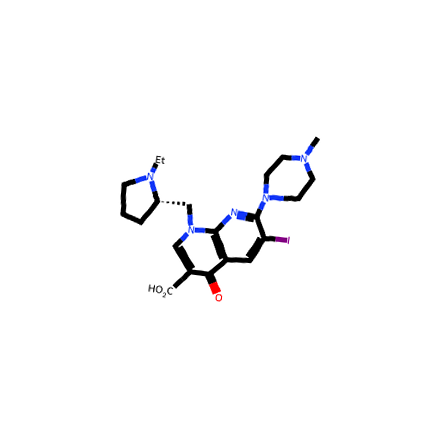 CCN1CCC[C@H]1Cn1cc(C(=O)O)c(=O)c2cc(I)c(N3CCN(C)CC3)nc21